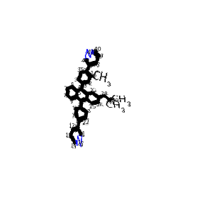 Cc1cc(-c2c3ccccc3c(-c3ccc(-c4cccnc4)cc3)c3ccc(CC(C)C)cc23)ccc1-c1cccnc1